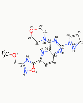 COCc1noc(-c2ccc3nc(-n4cccn4)nc(N4CCOCC4)c3n2)n1